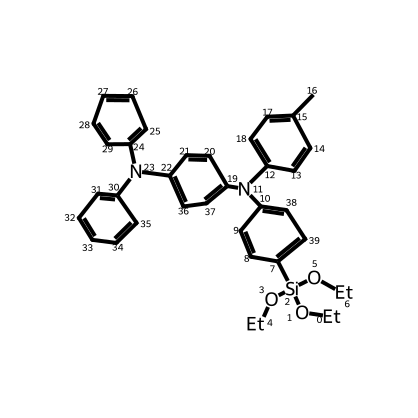 CCO[Si](OCC)(OCC)c1ccc(N(c2ccc(C)cc2)c2ccc(N(c3ccccc3)c3ccccc3)cc2)cc1